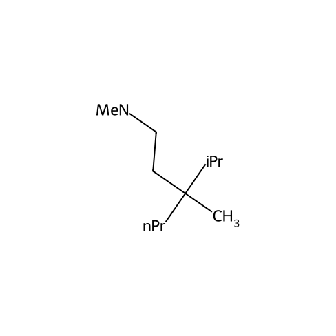 CCCC(C)(CCNC)C(C)C